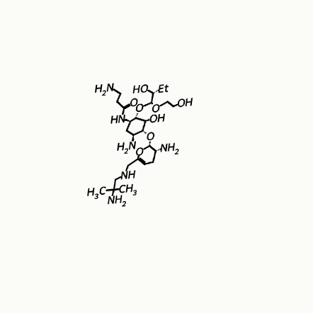 CC[C@@H](O)[C@H](OCCO)O[C@@H]1[C@@H](O)[C@H](O[C@H]2OC(CNCC(C)(C)N)=CC[C@H]2N)[C@@H](N)C[C@H]1NC(=O)CCN